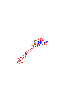 O=C(O)COCCOCCOCCOCCOCC[S+]([O-])c1cccc2c1C(=O)N(C1CCC(=O)NC1=O)C2=O